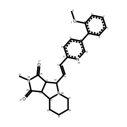 COc1ccccc1-c1ccc(/C=C/C2C3C(=O)N(C)C(=O)C3C3CCCCN23)nc1